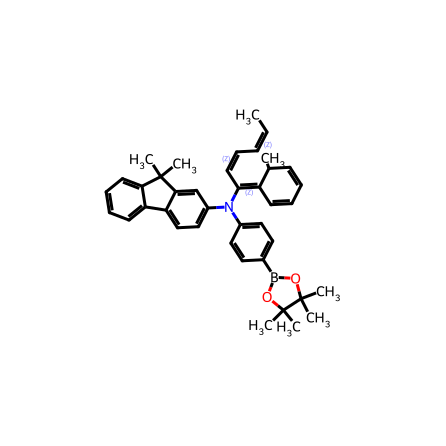 C\C=C/C=C\C(=C1\C=CC=CC1C)N(c1ccc(B2OC(C)(C)C(C)(C)O2)cc1)c1ccc2c(c1)C(C)(C)c1ccccc1-2